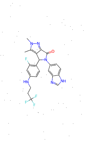 Cc1c2c(nn1C)C(=O)N(c1ccc3[nH]cnc3c1)C2c1ccc(NCCC(F)(F)F)cc1F